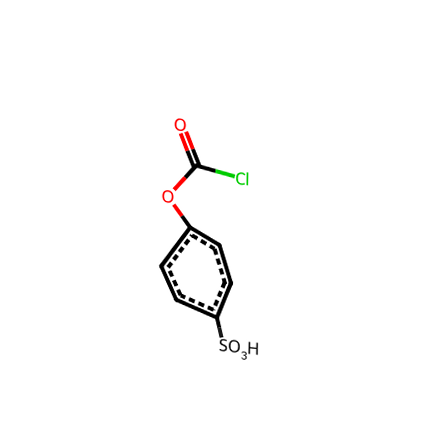 O=C(Cl)Oc1ccc(S(=O)(=O)O)cc1